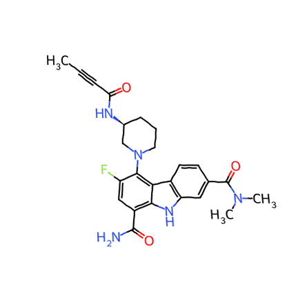 CC#CC(=O)N[C@H]1CCCN(c2c(F)cc(C(N)=O)c3[nH]c4cc(C(=O)N(C)C)ccc4c23)C1